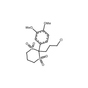 COc1ccc(C2(CCCCl)S(=O)(=O)CCCS2(=O)=O)cc1OC